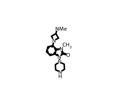 CNC1CN(c2cccc3c2n(C)c(=O)n3N2CCNCC2)C1